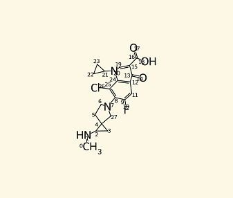 CNC1CC12CCN(c1c(F)cc3c(=O)c(C(=O)O)cn(C4CC4)c3c1Cl)C2